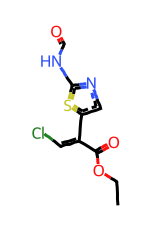 CCOC(=O)/C(=C/Cl)c1cnc(NC=O)s1